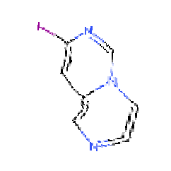 IC1=CC2=CN=C=CN2C=N1